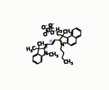 CCCC[N+]1=C(/C=C/C=C2\N(C)c3ccccc3C2(C)C)C(C)(C)c2c1ccc1ccccc21.[O-][Cl+3]([O-])([O-])[O-]